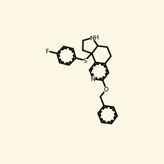 Fc1ccc(SC23CCNC2CCc2cc(OCc4ccccc4)ncc23)cc1